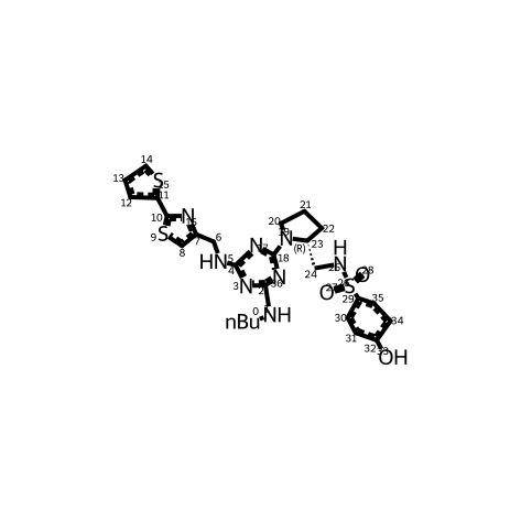 CCCCNc1nc(NCc2csc(-c3cccs3)n2)nc(N2CCC[C@@H]2CNS(=O)(=O)c2ccc(O)cc2)n1